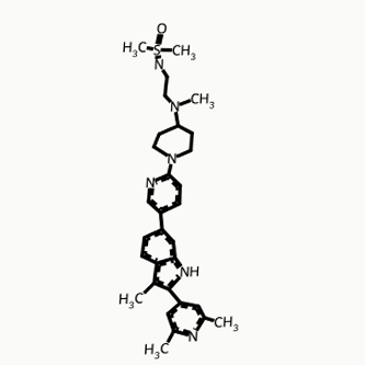 Cc1cc(-c2[nH]c3cc(-c4ccc(N5CCC(N(C)CCN=S(C)(C)=O)CC5)nc4)ccc3c2C)cc(C)n1